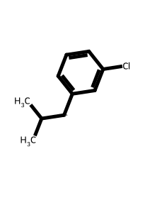 CC(C)[CH]c1cccc(Cl)c1